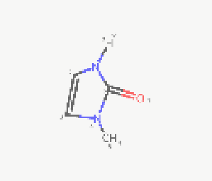 [2H]n1ccn(C)c1=O